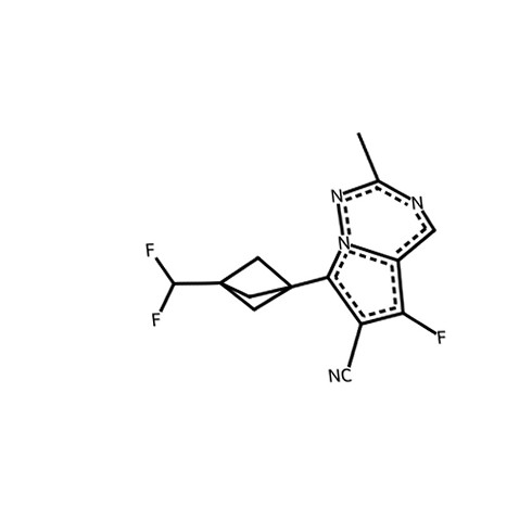 Cc1ncc2c(F)c(C#N)c(C34CC(C(F)F)(C3)C4)n2n1